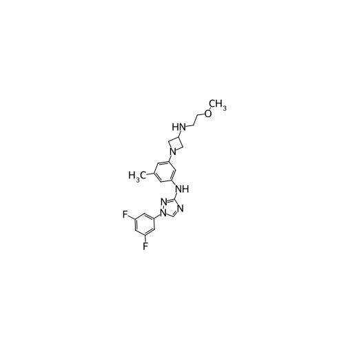 COCCNC1CN(c2cc(C)cc(Nc3ncn(-c4cc(F)cc(F)c4)n3)c2)C1